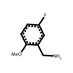 COc1ccc(F)cc1CN